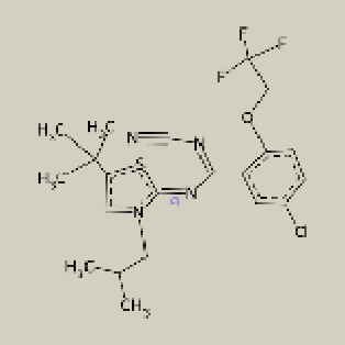 CC(C)Cn1cc(C(C)(C)C)s/c1=N\C(=NC#N)c1cc(Cl)ccc1OCC(F)(F)F